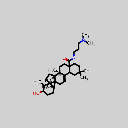 CC1C(O)CCC2(C)C13CCC1(C)C23CC=C2C3CC(C)(C)CCC3(C(=O)NCCCN(C)C)CC[C@]21C